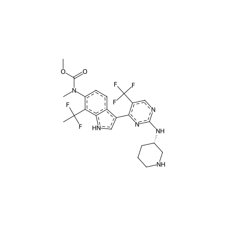 COC(=O)N(C)c1ccc2c(-c3nc(N[C@H]4CCCNC4)ncc3C(F)(F)F)c[nH]c2c1C(C)(F)F